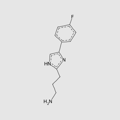 NCCCc1nc(-c2ccc(F)cc2)c[nH]1